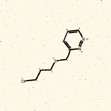 ClCCCSCc1cccnn1